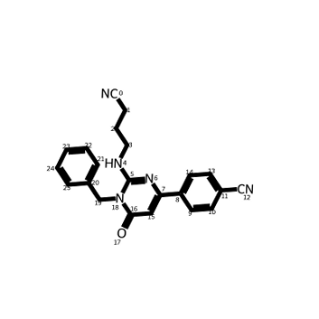 N#CCCCNc1nc(-c2ccc(C#N)cc2)cc(=O)n1Cc1ccccc1